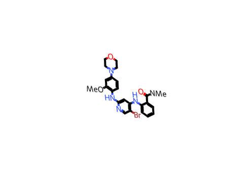 CNC(=O)c1ccccc1Nc1cc(Nc2ccc(N3CCOCC3)cc2OC)ncc1Br